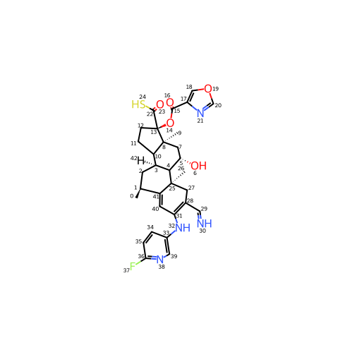 C[C@H]1C[C@@H]2C([C@@H](O)C[C@@]3(C)C2CC[C@]3(OC(=O)c2cocn2)C(=O)S)[C@@]2(C)CC(C=N)=C(Nc3ccc(F)nc3)C=C12